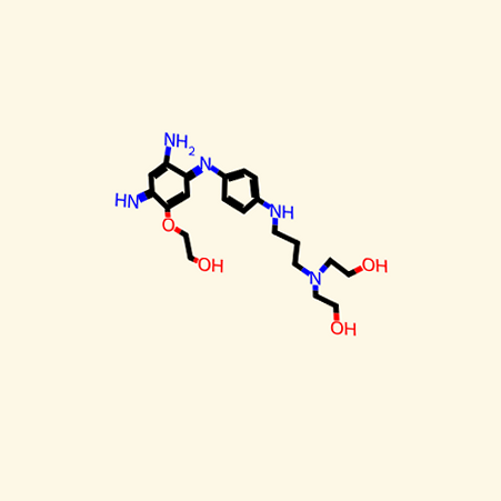 N=C1C=C(N)/C(=N/c2ccc(NCCCN(CCO)CCO)cc2)C=C1OCCO